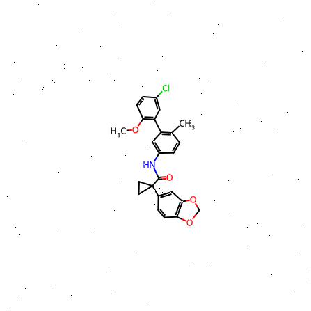 COc1ccc(Cl)cc1-c1cc(NC(=O)C2(c3ccc4c(c3)OCO4)CC2)ccc1C